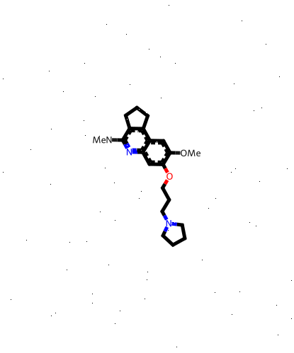 CNc1nc2cc(OCCCN3CCCC3)c(OC)cc2c2c1CCC2